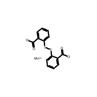 O=C([O-])c1ccccc1SSc1ccccc1C(=O)[O-].[Mn+2]